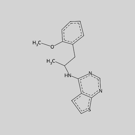 COc1ccccc1CC(C)Nc1ncnc2sccc12